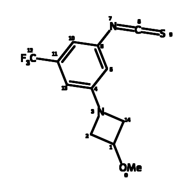 COC1CN(c2cc(N=C=S)cc(C(F)(F)F)c2)C1